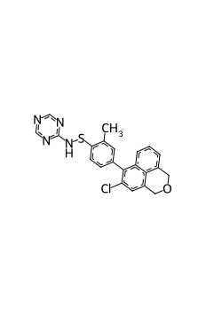 Cc1cc(-c2c(Cl)cc3c4c(cccc24)COC3)ccc1SNc1ncncn1